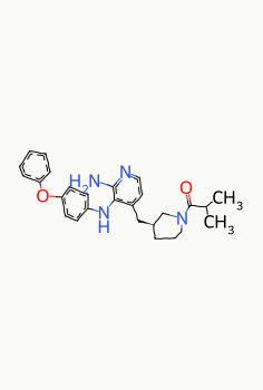 CC(C)C(=O)N1CCC[C@@H](Cc2ccnc(N)c2Nc2ccc(Oc3ccccc3)cc2)C1